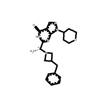 C[C@H](c1nc2c(cnn2C2CCOCC2)c(=O)[nH]1)N1CC(Cc2ccccc2)C1